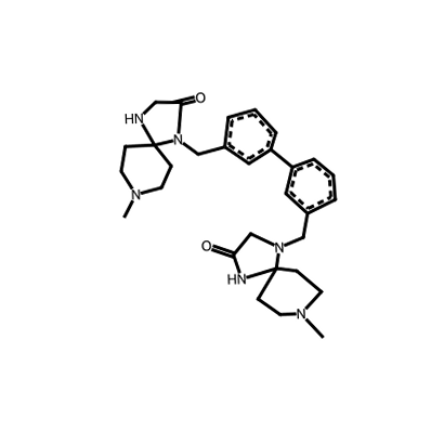 CN1CCC2(CC1)NC(=O)CN2Cc1cccc(-c2cccc(CN3C(=O)CNC34CCN(C)CC4)c2)c1